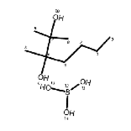 CCCCC(C)(O)C(C)(C)O.OB(O)O